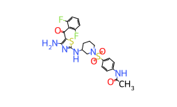 CC(=O)Nc1ccc(S(=O)(=O)N2CCCC(Nc3nc(N)c(C(=O)c4c(F)cccc4F)s3)C2)cc1